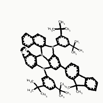 CC(C)(C)c1cc(N2c3cc(-c4ccc5c(c4)C(C)(C)c4ccccc4-5)cc4c3B(c3c2ccc2ccccc32)c2c(ccc3ccccc23)N4c2cc(C(C)(C)C)cc(C(C)(C)C)c2)cc(C(C)(C)C)c1